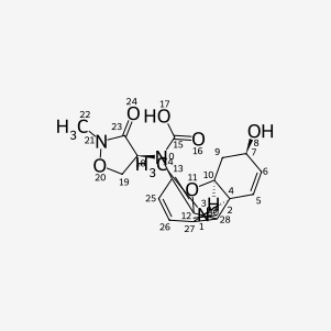 CN1CC[C@@]23C=C[C@H](O)C[C@@H]2Oc2c(N(C(=O)O)[C@H]4CON(C)C4=O)ccc(c23)C1